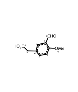 COc1ccc(CC(=O)O)cc1C=O